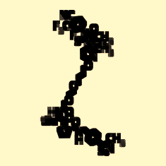 Cc1nc(OCCCCOCCOCC(=O)NC(C(=O)N2CCC[C@H]2C(=O)NCc2ccc(-c3scnc3C)cc2)C(C)(C)C)ccc1N1C(=S)N(c2ccc(C#N)c(C(F)(F)F)c2F)C(=O)C1(C)C